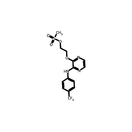 CS(=O)(=O)OCCOc1nccnc1Nc1ccc(C(F)(F)F)cc1